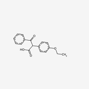 CCOc1ccc(C(C(=O)O)C(=O)c2ccccc2)cc1